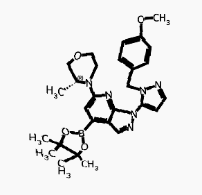 COc1ccc(Cn2nccc2-n2ncc3c(B4OC(C)(C)C(C)(C)O4)cc(N4CCOC[C@H]4C)nc32)cc1